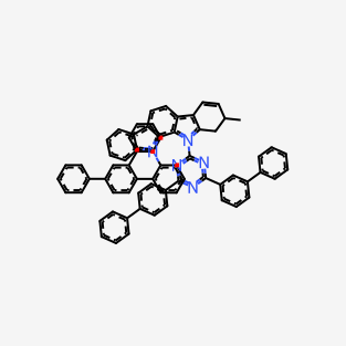 CC1C=Cc2c(n(-c3nc(-c4ccc(-c5ccccc5)cc4)nc(-c4cccc(-c5ccccc5)c4)n3)c3c2ccc2c4ccccc4n(-c4ccccc4-c4ccc(-c5ccccc5)cc4-c4ccccc4)c23)C1